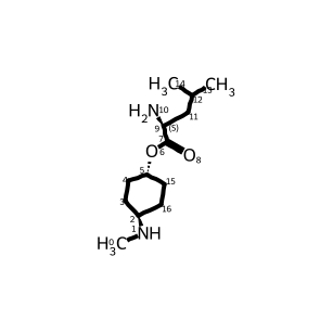 CN[C@H]1CC[C@H](OC(=O)[C@@H](N)CC(C)C)CC1